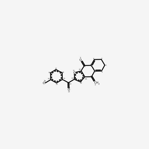 C=C1C2=CCCC=C2C(=O)c2oc(C(=O)c3cccc(Cl)c3)cc21